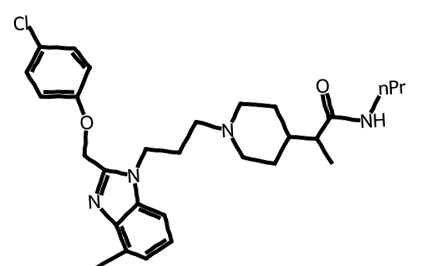 CCCNC(=O)C(C)C1CCN(CCCn2c(COc3ccc(Cl)cc3)nc3c(C)cccc32)CC1